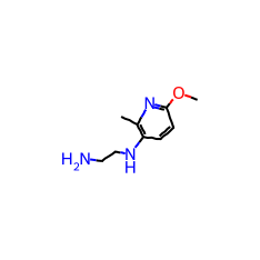 COc1ccc(NCCN)c(C)n1